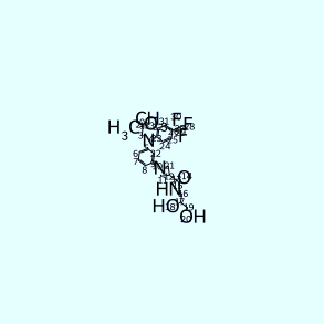 CC1(C)CN(c2cccc(N3CC(C(=O)NCC(O)CO)C3)c2)c2ccc(C(F)(F)F)cc2O1